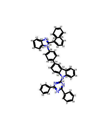 c1ccc(-c2nc(-c3ccccc3)nc(-n3c4ccccc4c4cc(-c5ccc(-n6c(-c7cccc8ccccc78)nc7ccccc76)cc5)ccc43)n2)cc1